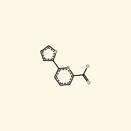 O=C(Cl)c1cccc(-c2cccs2)n1